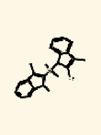 CCC1=C(C)c2ccccc2C1[Si](C)(C)C1=C(C)c2ccccc2C1C